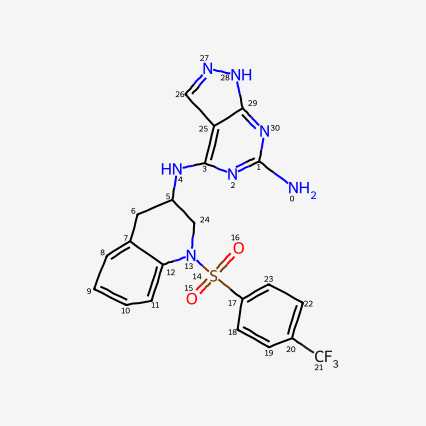 Nc1nc(NC2Cc3ccccc3N(S(=O)(=O)c3ccc(C(F)(F)F)cc3)C2)c2cn[nH]c2n1